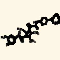 Cc1cc(NC(=O)c2c(C)c(C(=O)C(=O)NC3CCN(c4ncccn4)CC3)n(C)c2C)ccc1F